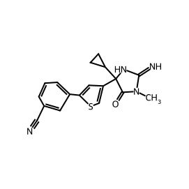 CN1C(=N)NC(c2csc(-c3cccc(C#N)c3)c2)(C2CC2)C1=O